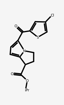 CC(C)OC(=O)C1CCn2c(C(=O)c3cc(Cl)cs3)ccc21